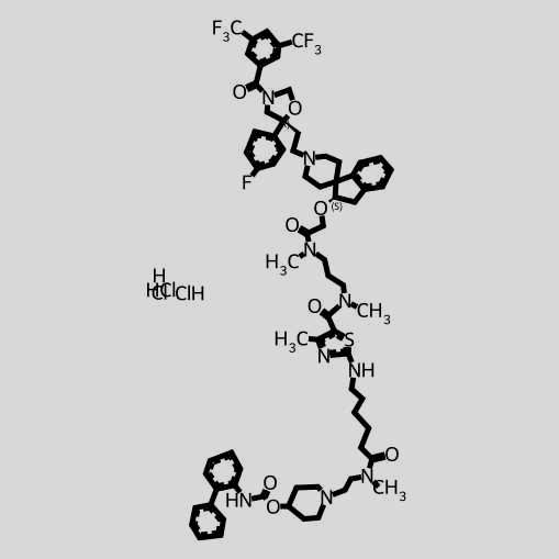 Cc1nc(NCCCCCC(=O)N(C)CCN2CCC(OC(=O)Nc3ccccc3-c3ccccc3)CC2)sc1C(=O)N(C)CCCN(C)C(=O)CO[C@H]1Cc2ccccc2C12CCN(CC[C@@]1(c3ccc(F)cc3)CN(C(=O)c3cc(C(F)(F)F)cc(C(F)(F)F)c3)CO1)CC2.Cl.Cl.Cl